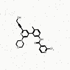 Cc1ccc(NC(=O)c2ccnc(C(F)(F)F)c2)cc1-c1cc(C#CCO)nc(N2CCOCC2)c1